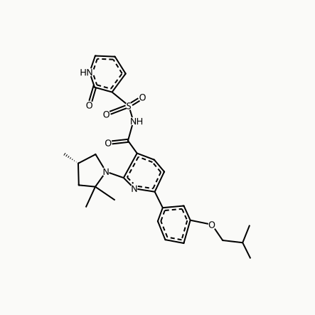 CC(C)COc1cccc(-c2ccc(C(=O)NS(=O)(=O)c3ccc[nH]c3=O)c(N3C[C@@H](C)CC3(C)C)n2)c1